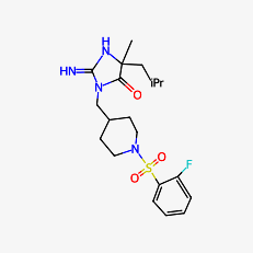 CC(C)CC1(C)NC(=N)N(CC2CCN(S(=O)(=O)c3ccccc3F)CC2)C1=O